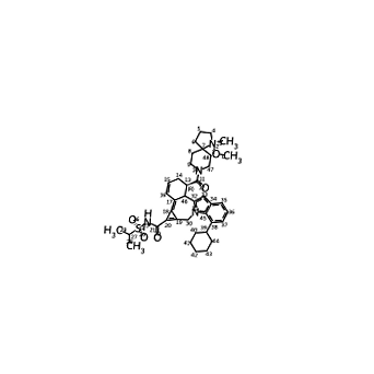 CO[N+]1(C)CCCC12CCN(C(=O)[C@@H]1CC=CC3=C4C(=C4C(=O)NS(=O)(=O)C(C)C)Cn4c(cc5cccc(C6CCCCC6)c54)C31)CC2